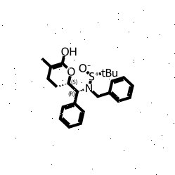 CC1=C(O)O[C@H]([C@@H](c2ccccc2)N(Cc2ccccc2)[S+]([O-])C(C)(C)C)CC1